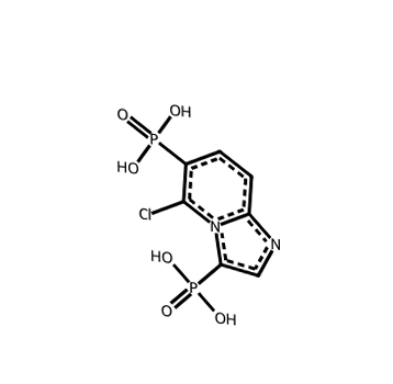 O=P(O)(O)c1ccc2ncc(P(=O)(O)O)n2c1Cl